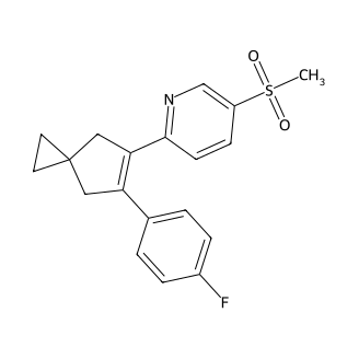 CS(=O)(=O)c1ccc(C2=C(c3ccc(F)cc3)CC3(CC3)C2)nc1